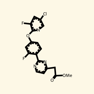 COC(=O)Cc1ccnc(-c2ccc(Oc3ncc(Cl)cc3F)cc2F)n1